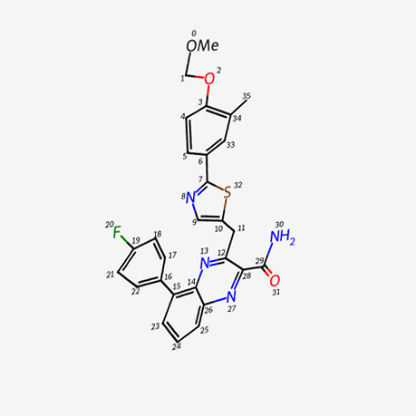 COCOc1ccc(-c2ncc(Cc3nc4c(-c5ccc(F)cc5)cccc4nc3C(N)=O)s2)cc1C